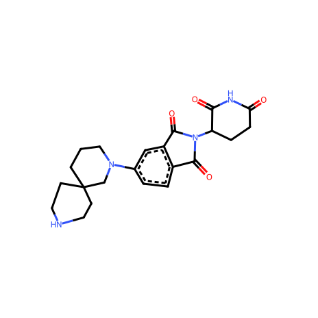 O=C1CCC(N2C(=O)c3ccc(N4CCCC5(CCNCC5)C4)cc3C2=O)C(=O)N1